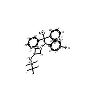 CC(C)(C)[Si](C)(C)OC1CN(C(c2ccc(F)cc2)C(O)(c2cccnc2)c2cccnc2)C1